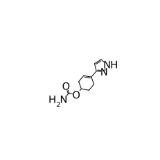 NC(=O)OC1CC=C(c2cc[nH]n2)CC1